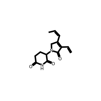 C=CC1=C(/C=C\C)CN(C2CCC(=O)NC2=O)C1=O